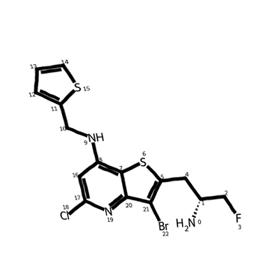 N[C@@H](CF)Cc1sc2c(NCc3cccs3)cc(Cl)nc2c1Br